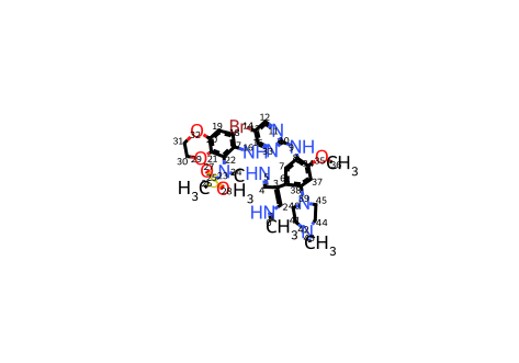 CN/C=C(\C=N)c1cc(Nc2ncc(Br)c(Nc3ccc4c(c3N(C)S(C)(=O)=O)OCCO4)n2)c(OC)cc1N1CCN(C)CC1